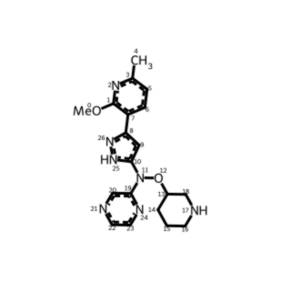 COc1nc(C)ccc1-c1cc(N(OC2CCCNC2)c2cnccn2)[nH]n1